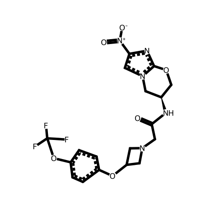 O=C(CN1CC(Oc2ccc(OC(F)(F)F)cc2)C1)N[C@@H]1COc2nc([N+](=O)[O-])cn2C1